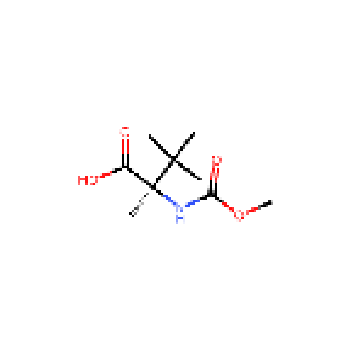 COC(=O)N[C@@](C)(C(=O)O)C(C)(C)C